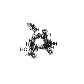 C[C@@H](O)[C@@H]1NC(=O)[C@H](CCCCCNC(=O)OC(C)(C)C)NC(=O)[C@@H](Cc2c[nH]c3ccccc23)NC(=O)[C@H](Cc2ccc(O)cc2)NC(=O)[C@@H](NC(=O)[C@@H](Cc2ccccc2)NC(=O)OC(C)(C)C)CSSC[C@@H](C(=O)N[C@@H](Cc2c[nH]c3ccccc23)C(=O)O)NC1=O